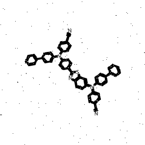 N#Cc1ccc(N(c2ccc(-c3ccccc3)cc2)c2ccc(-c3nc4ccc(N(c5ccc(C#N)cc5)c5ccc(-c6ccccc6)cc5)cc4s3)cc2)cc1